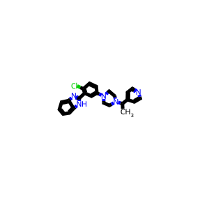 CC(c1ccncc1)N1CCN(c2ccc(Cl)c(-c3nc4ccccc4[nH]3)c2)CC1